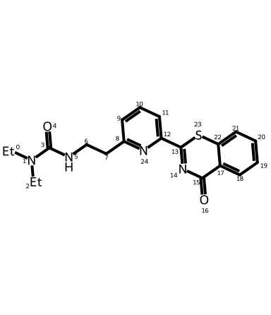 CCN(CC)C(=O)NCCc1cccc(-c2nc(=O)c3ccccc3s2)n1